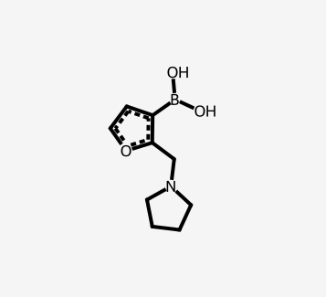 OB(O)c1ccoc1CN1CCCC1